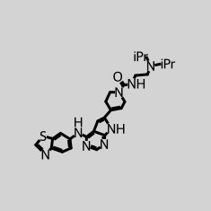 CC(C)N(CCNC(=O)N1CC=C(c2cc3c(Nc4ccc5ncsc5c4)ncnc3[nH]2)CC1)C(C)C